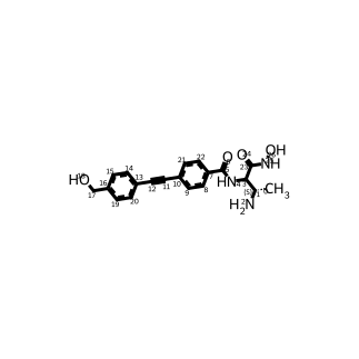 C[C@H](N)C(NC(=O)c1ccc(C#Cc2ccc(CO)cc2)cc1)C(=O)NO